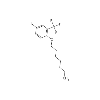 CCCCCCCOc1ccc(I)cc1C(F)(F)F